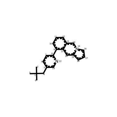 CC(C)(C)Cc1ccc(-c2cccc3cn4cccc4cc23)nc1